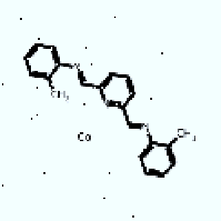 Cc1ccccc1N=Cc1cccc(C=Nc2ccccc2C)n1.[Co]